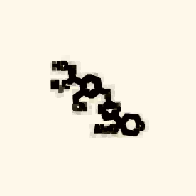 COC1(c2cnc(Sc3ccc(/C(C)=N/O)c(CC#N)c3)s2)CCOCC1